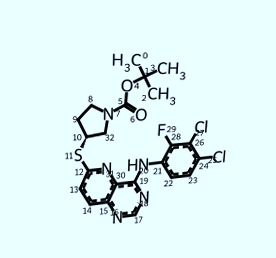 CC(C)(C)OC(=O)N1CC[C@H](Sc2ccc3ncnc(Nc4ccc(Cl)c(Cl)c4F)c3n2)C1